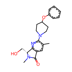 Cc1cc2c(nc1N1CCC(Oc3ccccc3)CC1)[C@@H](CO)N(C)C2=O